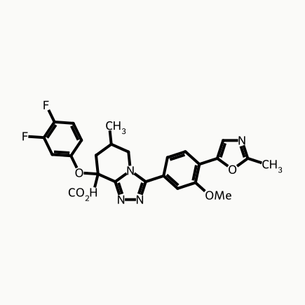 COc1cc(-c2nnc3n2CC(C)CC3(Oc2ccc(F)c(F)c2)C(=O)O)ccc1-c1cnc(C)o1